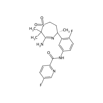 CC1(C)C(N)=N[C@](C)(c2cc(NC(=O)c3ccc(F)cn3)ccc2F)CCS1(=O)=O